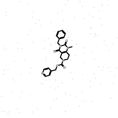 Cn1c2c(c(=O)n(Cc3ccccc3)c1=O)CN(C(=O)OCc1ccncc1)CC2